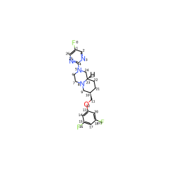 Fc1cnc(N2CCN3C[C@H](COc4cc(F)cc(F)c4)CC[C@H]3C2)nc1